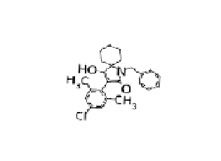 Cc1cc(Cl)cc(C)c1C1=C(O)C2(CCCCC2)N(Cc2ccccc2)C1=O